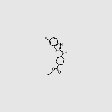 CCOC(=O)C1CCC(Nc2nc3ccc(F)cc3s2)CC1